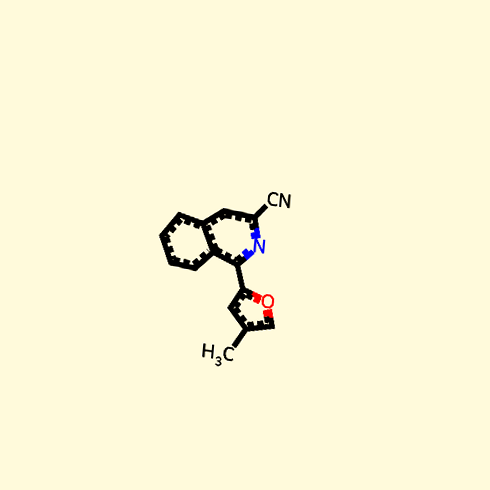 Cc1coc(-c2nc(C#N)cc3ccccc23)c1